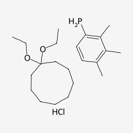 CCOC1(OCC)CCCCCCCC1.Cc1ccc(P)c(C)c1C.Cl